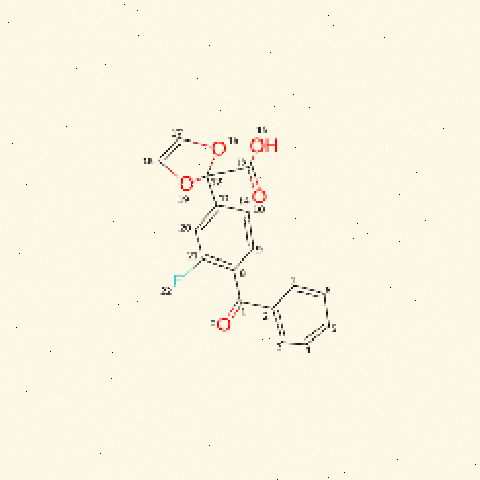 O=C(c1ccccc1)c1ccc(C2(C(=O)O)OC=CO2)cc1F